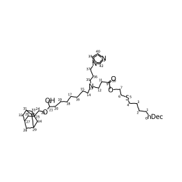 CCCCCCCCCCCCCCSCCOC(=O)CCN(CCCCCCCC(O)OCC12CC3CC(CC(C3)C1)C2)CCCn1ccnc1